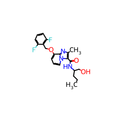 CCCC(CO)NC(=O)c1c(C)nc2c(OCc3c(F)cccc3F)cccn12